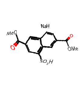 COC(=O)c1cc(S(=O)(=O)O)c2cc(C(=O)OC)ccc2c1.[NaH]